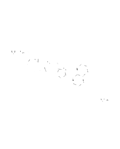 CN[C@@H](C)C(=O)N[C@H](C(=O)N1CCC[C@H]1c1nc(-c2ccc(OCCOC)c3ccccc23)cs1)C1CCCCC1